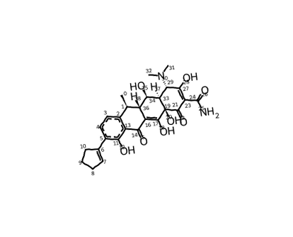 C[C@@H]1c2ccc(C3=CCCC3)c(O)c2C(=O)C2=C(O)[C@@]3(O)C(=O)C(C(N)=O)=C(O)[C@@H](N(C)C)[C@@H]3[C@H](O)[C@H]21